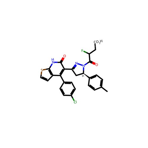 Cc1ccc([C@H]2CC(c3c(-c4ccc(Cl)cc4)c4ccsc4[nH]c3=O)=NN2C(=O)C(F)CC(=O)O)cc1